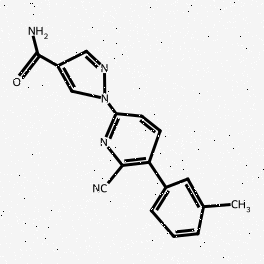 Cc1cccc(-c2ccc(-n3cc(C(N)=O)cn3)nc2C#N)c1